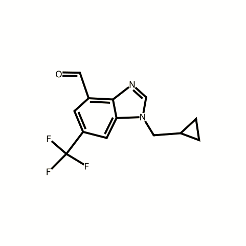 O=Cc1cc(C(F)(F)F)cc2c1ncn2CC1CC1